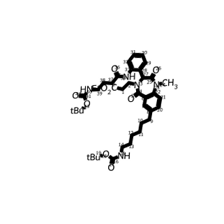 CCOC(=O)CCN1C(=O)c2cc(CCCCCCNC(=O)OC(C)(C)C)ccc2N(C)C(=O)C1c1ccccc1NC(=O)CCCNC(=O)OC(C)(C)C